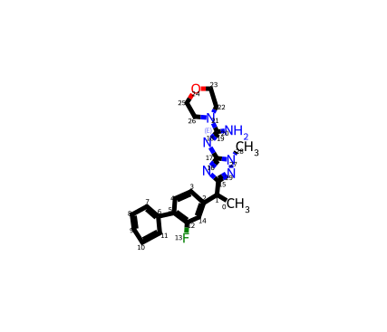 CC(c1ccc(-c2ccccc2)c(F)c1)c1nc(/N=C(\N)N2CCOCC2)n(C)n1